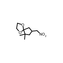 CC1(C)CC(C[N+](=O)[O-])CC12OCCO2